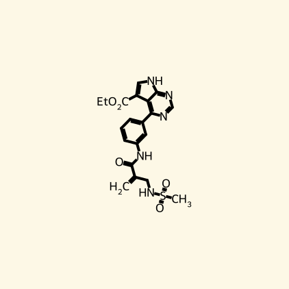 C=C(CNS(C)(=O)=O)C(=O)Nc1cccc(-c2ncnc3[nH]cc(C(=O)OCC)c23)c1